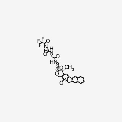 CC[C@@]1(OC(=O)CNC(=O)CNC(=O)CNC(=O)C(F)(F)F)C(=O)OCc2c1cc1n(c2=O)Cc2cc3ccccc3cc2-1